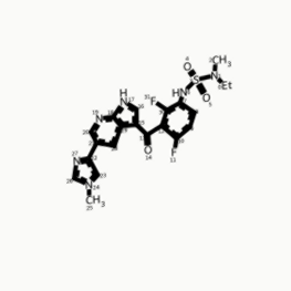 CCN(C)S(=O)(=O)Nc1ccc(F)c(C(=O)c2c[nH]c3ncc(-c4cn(C)cn4)cc23)c1F